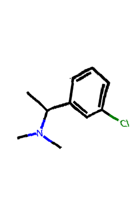 CC(c1[c]ccc(Cl)c1)N(C)C